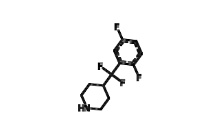 Fc1ccc(F)c(C(F)(F)C2CCNCC2)c1